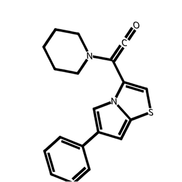 O=C=C(c1csc2cc(-c3ccccc3)cn12)N1CCCCC1